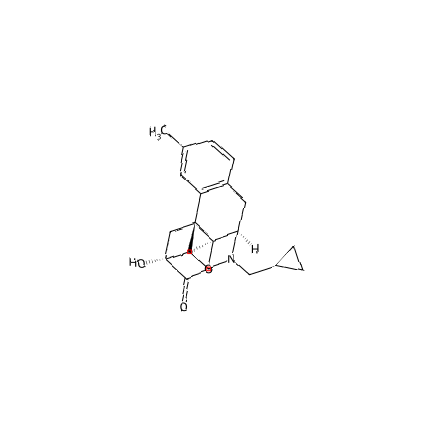 Cc1ccc2c(c1)[C@]13CCN(CC4CC4)[C@H](C2)[C@]12CC[C@](O)(C3)C(=O)O2